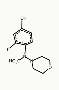 O=C(O)N(c1ccc(O)cc1F)N1CCOCC1